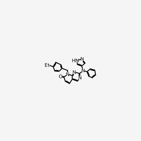 CCc1ccc(Cn2c(=O)ccc3cnc(N(c4ccccc4)c4cn[nH]c4)nc32)cc1